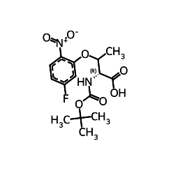 CC(Oc1cc(F)ccc1[N+](=O)[O-])[C@@H](NC(=O)OC(C)(C)C)C(=O)O